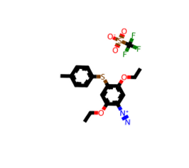 CCOc1cc(Sc2ccc(C)cc2)c(OCC)cc1[N+]#N.O=S(=O)([O-])C(F)(F)F